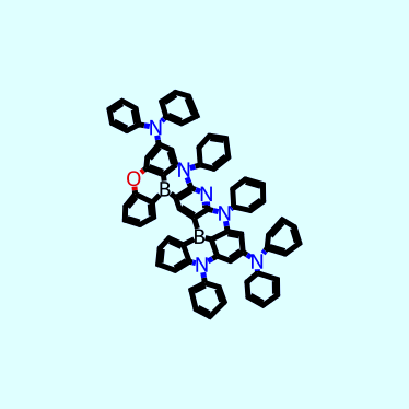 C1=CCC(N(C2=CC3C4B(c5ccccc5N3c3ccccc3)c3cc5c(nc3N(C3C=CC=CC3)C4=C2)N(C2C=CC=CC2)c2cc(N(c3ccccc3)c3ccccc3)cc3c2B5c2ccccc2O3)c2ccccc2)C=C1